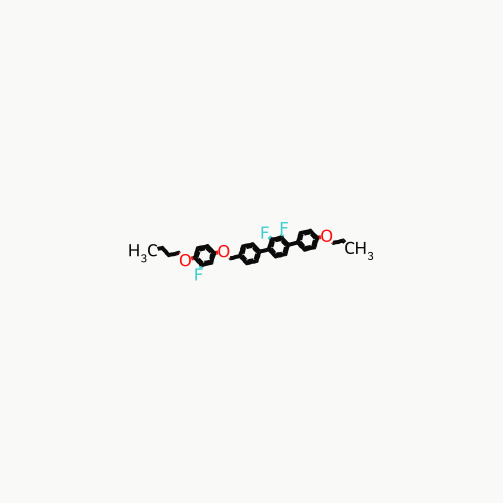 CCCCOc1ccc(OCc2ccc(-c3ccc(-c4ccc(OCCC)cc4)c(F)c3F)cc2)cc1F